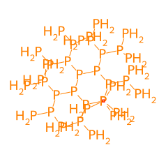 PP(P)P(P(P)P)P(P(P(P)P)P(P)P)P(P(P(P)P)P(P)P)P(P(P(P)P)P(P)P)P(P(P)P)P(P)P